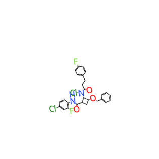 O=C(Nc1ccc(Cl)cc1F)C1CC(OCc2ccccc2)C1N(Cl)C(=O)CCc1ccc(F)cc1